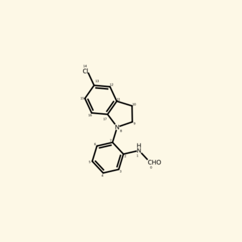 O=CNc1ccccc1N1CCc2cc(Cl)ccc21